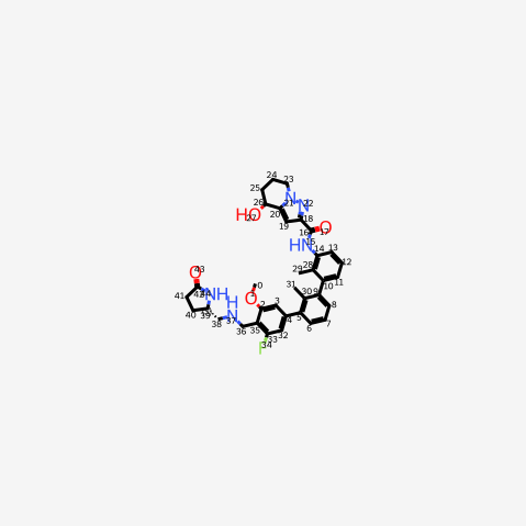 COc1cc(-c2cccc(-c3cccc(NC(=O)c4cc5n(n4)CCCC5O)c3C)c2C)cc(F)c1CNC[C@@H]1CCC(=O)N1